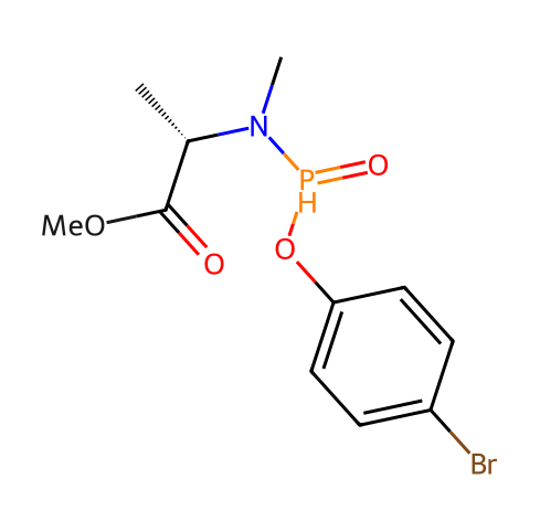 COC(=O)[C@H](C)N(C)[PH](=O)Oc1ccc(Br)cc1